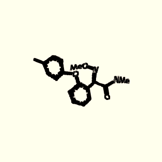 CNC(=O)/C(=N/OC)c1ccccc1Oc1ccc(C)cc1